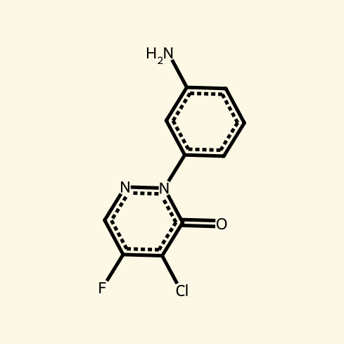 Nc1cccc(-n2ncc(F)c(Cl)c2=O)c1